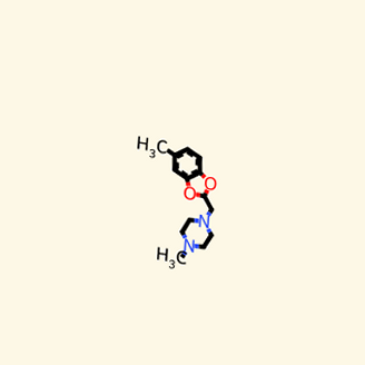 Cc1ccc2c(c1)OC(CN1CCN(C)CC1)O2